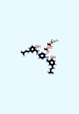 CC(=O)[O-].CC(=O)[O-].CC(C)CCc1ccc(O)c(C=Nc2ccc(N=Cc3cc(CCC(C)C)ccc3O)cc2)c1.[Co+2]